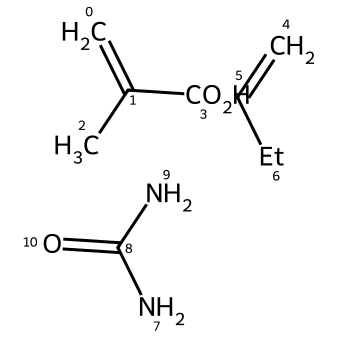 C=C(C)C(=O)O.C=CCC.NC(N)=O